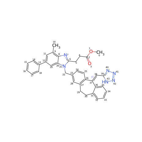 COC(=O)CCc1nc2c(C)cc(-c3ccccc3)cc2n1Cc1ccc2c(c1)CCc1ccccc1/C2=C\c1nnn[nH]1